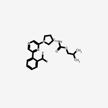 CC(C)COC(=O)N[C@H]1CCN(c2cncc(-c3ccccc3C(F)F)n2)C1